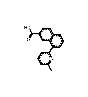 Cc1cccc(-c2cccc3ccc(C(=O)O)cc23)n1